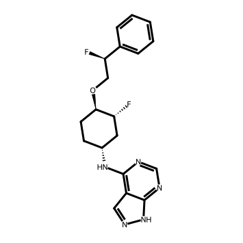 F[C@H](CO[C@@H]1CC[C@@H](Nc2ncnc3[nH]ncc23)C[C@H]1F)c1ccccc1